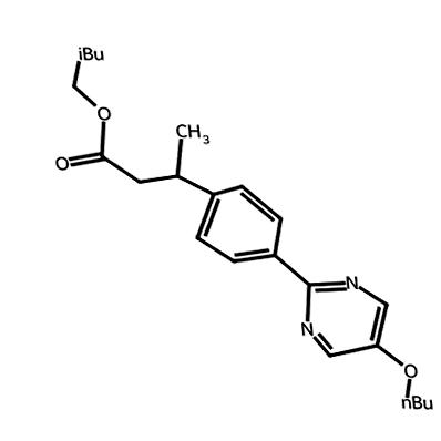 CCCCOc1cnc(-c2ccc(C(C)CC(=O)OCC(C)CC)cc2)nc1